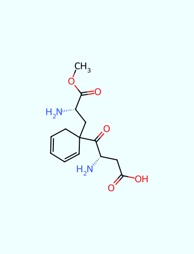 COC(=O)[C@@H](N)CC1(C(=O)[C@@H](N)CC(=O)O)C=CC=CC1